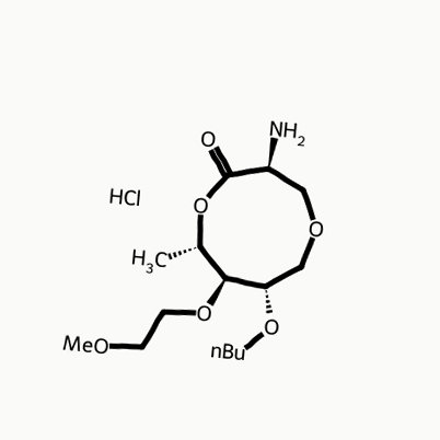 CCCCO[C@H]1COC[C@H](N)C(=O)O[C@@H](C)[C@@H]1OCCOC.Cl